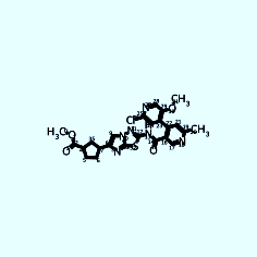 COC(=O)C1CCC(c2cn3nc(NC(=O)c4cnc(C)cc4-c4cc(Cl)ncc4OC)sc3n2)C1